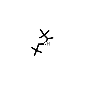 CC(NCC(C)(C)C)C(C)(C)C